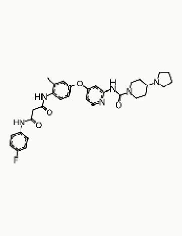 Cc1cc(Oc2ccnc(NC(=O)N3CCC(N4CCCC4)CC3)c2)ccc1NC(=O)CC(=O)Nc1ccc(F)cc1